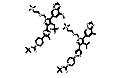 COc1cc(-c2c(CC(F)(F)F)c(-c3nc(C)c(C4CCN(C(=O)OC(C)(C)C)CC4)s3)nn2COCC[Si](C)(C)C)cn2ncnc12.Cc1cc(-c2c(C(C)C)c(-c3cnn(C4CCN(C(=O)OC(C)(C)C)CC4)c3)nn2COCC[Si](C)(C)C)cn2ncnc12